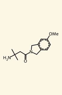 COc1ccc2c(c1)CN(C(=O)CC(C)(C)N)C2